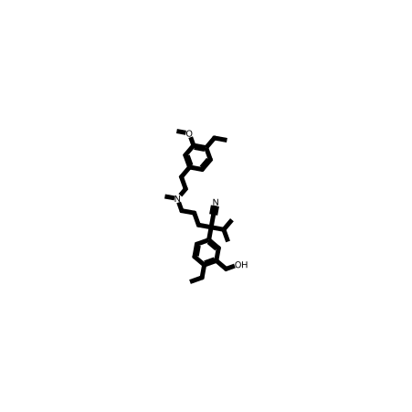 CCc1ccc(C(C#N)(CCCN(C)CCc2ccc(CC)c(OC)c2)C(C)C)cc1CO